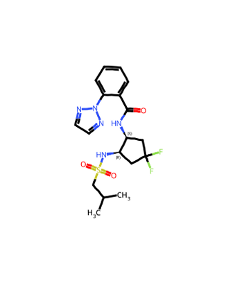 CC(C)CS(=O)(=O)N[C@@H]1CC(F)(F)C[C@@H]1NC(=O)c1ccccc1-n1nccn1